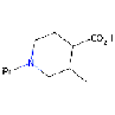 CC1CN(C(C)C)CCC1C(=O)O